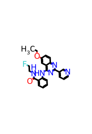 CCOc1ccc2nc(-c3cccnc3)nc(Nc3ccccc3C(=O)NCCF)c2c1